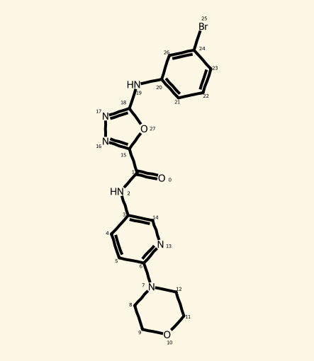 O=C(Nc1ccc(N2CCOCC2)nc1)c1nnc(Nc2cccc(Br)c2)o1